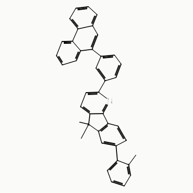 Cc1ccccc1-c1ccc2c(c1)C(C)(C)c1ccc(-c3cccc(-c4cc5ccccc5c5ccccc45)c3)nc1-2